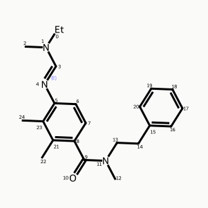 CCN(C)/C=N/c1ccc(C(=O)N(C)CCc2ccccc2)c(C)c1C